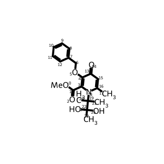 COC(=O)c1c(OCc2ccccc2)c(=O)cc(C)n1C(C)(C)C(C)(O)O